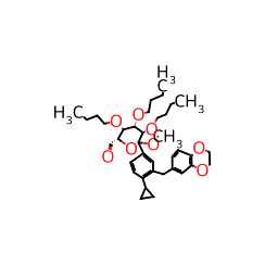 CCCCO[C@H]1[C@H](OCCCC)[C@@H](C=O)OC(OC)(c2ccc(C3CC3)c(Cc3ccc4c(c3)OCCO4)c2)[C@@H]1OCCCC